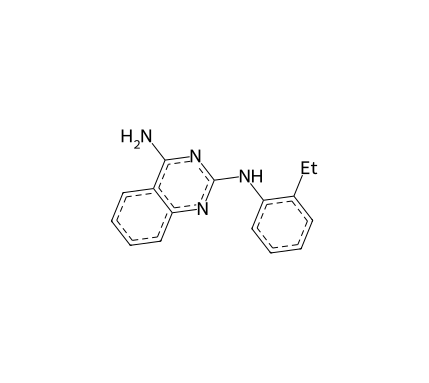 CCc1ccccc1Nc1nc(N)c2ccccc2n1